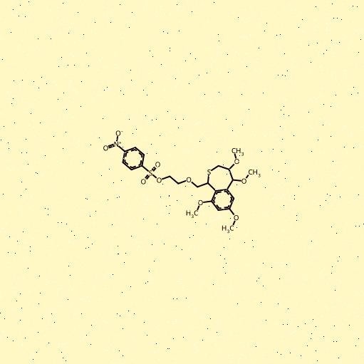 COc1cc(OC)c2c(c1)C(OC)C(OC)CSC2COCCOS(=O)(=O)c1ccc([N+](=O)[O-])cc1